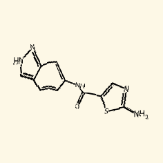 Nc1ncc(C(=O)Nc2ccc3c[nH]nc3c2)s1